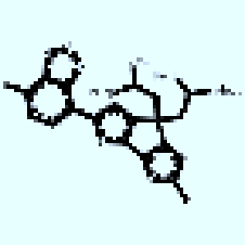 CCCCCCCC(CCCCC)CC1(CC(CCCCC)CCCCCCC)c2cc(C)sc2-c2sc(-c3ccc(C)c4nsnc34)cc21